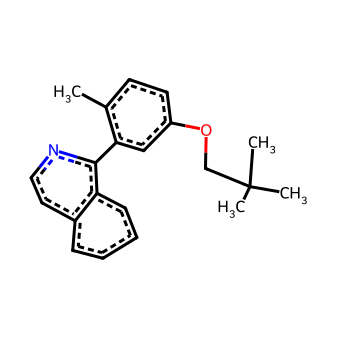 Cc1ccc(OCC(C)(C)C)cc1-c1nccc2ccccc12